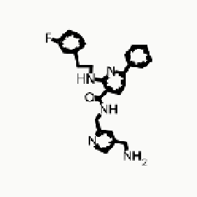 NCc1ccnc(CNC(=O)c2ccc(-c3ccccc3)nc2NCCc2cccc(F)c2)c1